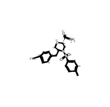 Cc1ccc(S(=O)(=O)N2C[C@@H](C(N)=O)OCC2Cc2ccc(Cl)cc2)cc1